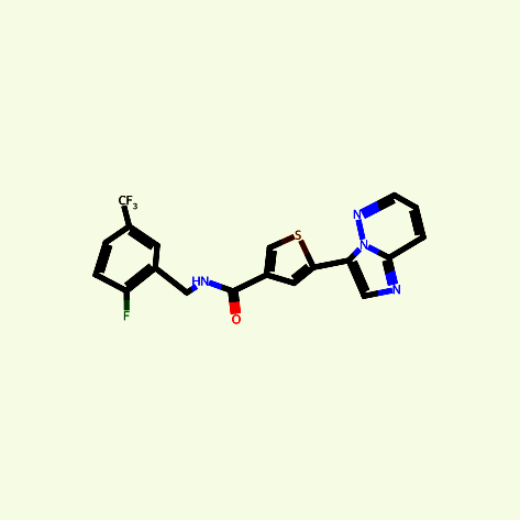 O=C(NCc1cc(C(F)(F)F)ccc1F)c1csc(-c2cnc3cccnn23)c1